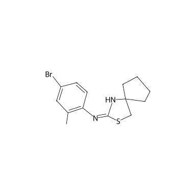 Cc1cc(Br)ccc1/N=C1\NC2(CCCC2)CS1